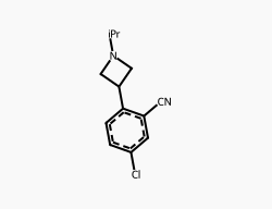 CC(C)N1CC(c2ccc(Cl)cc2C#N)C1